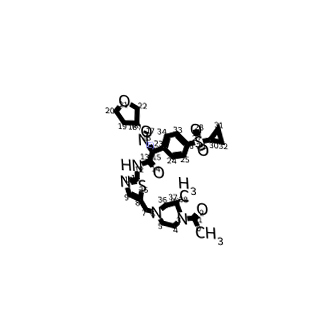 CC(=O)N1CCN(Cc2cnc(NC(=O)/C(=N/O[C@@H]3CCOC3)c3ccc(S(=O)(=O)C4CC4)cc3)s2)C[C@@H]1C